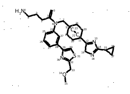 C=C(CCCN)N(CC12CCC(C3=NC(C4CC4)=NC3)(CC1)CC2)c1cccc(-c2csc(COC)n2)c1